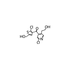 O=C(c1cc(Cl)ncc1CCO)c1cc(CO)sc1Cl